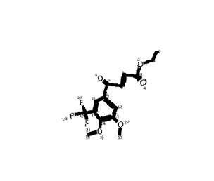 CCOC(=O)/C=C/C(=O)c1cc(OC)c(OC)c(C(F)(F)F)c1